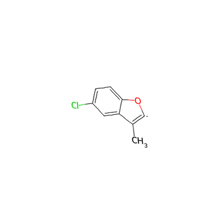 Cc1[c]oc2ccc(Cl)cc12